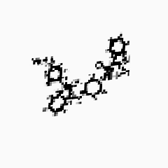 CCn1nc2ccccc2c1C(=O)N[C@H]1CC[C@H](Cn2c(=O)n(-c3ccc(OC)nc3)c3ccccc32)CC1